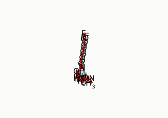 COc1cnc(-n2cnc(C(=O)N[C@H]3C[C@@H](CO)N(CCCCc4cn(CCOCCOCCOCCOCCOCCOCCOCCOCCC(=O)Oc5c(F)cc(F)cc5F)nn4)C3)n2)c2[nH]cc(C(=O)C(=O)N3CCC(=C(C#N)c4ccccc4)CC3)c12